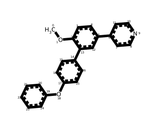 COc1ccc(-c2ccncc2)cc1-c1ccc(Oc2ccccc2)cc1